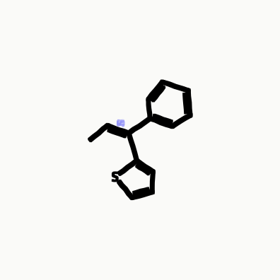 C/C=C(/c1ccccc1)c1cccs1